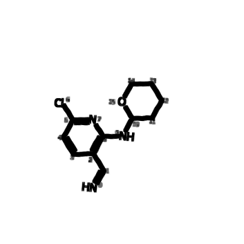 N=Cc1ccc(Cl)nc1NC1CCCCO1